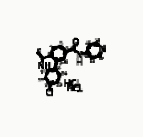 CC(N)c1ccc(C(=O)Nc2ccncc2)cc1-c1ccc(Cl)cc1.Cl.Cl